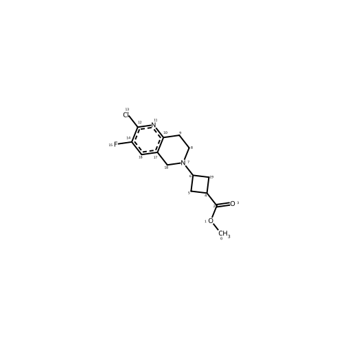 COC(=O)C1CC(N2CCc3nc(Cl)c(F)cc3C2)C1